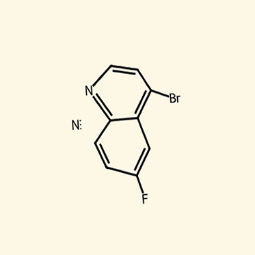 Fc1ccc2nccc(Br)c2c1.[N]